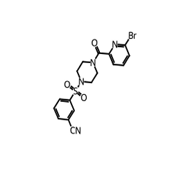 N#Cc1cccc(S(=O)(=O)N2CCN(C(=O)c3cccc(Br)n3)CC2)c1